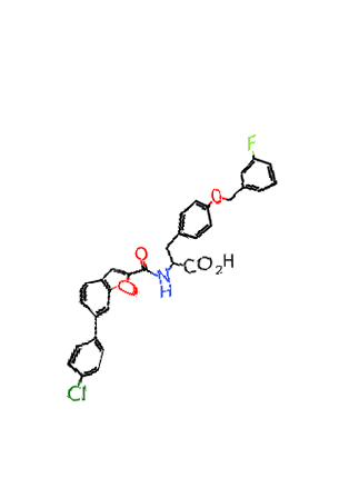 O=C(NC(Cc1ccc(OCc2cccc(F)c2)cc1)C(=O)O)c1cc2ccc(-c3ccc(Cl)cc3)cc2o1